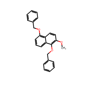 COc1ccc2c(OCc3ccccc3)cccc2c1OCc1ccccc1